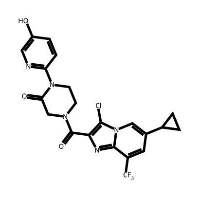 O=C(c1nc2c(C(F)(F)F)cc(C3CC3)cn2c1Cl)N1CCN(c2ccc(O)cn2)C(=O)C1